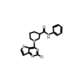 O=C(Nc1ccccc1)C1CCCN(c2nc(Cl)nc3ccsc23)C1